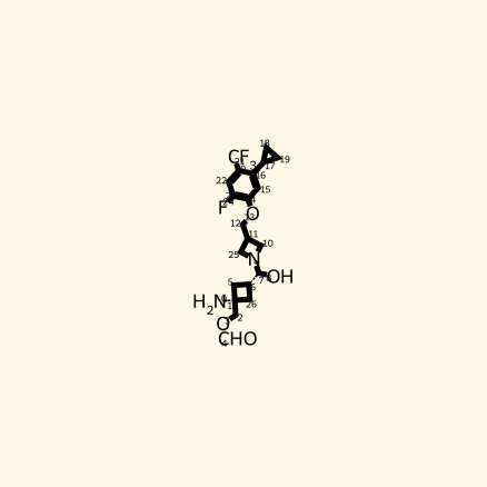 N[C@]1(COC=O)C[C@H](C(O)N2CC(COc3cc(C4CC4)c(C(F)(F)F)cc3F)C2)C1